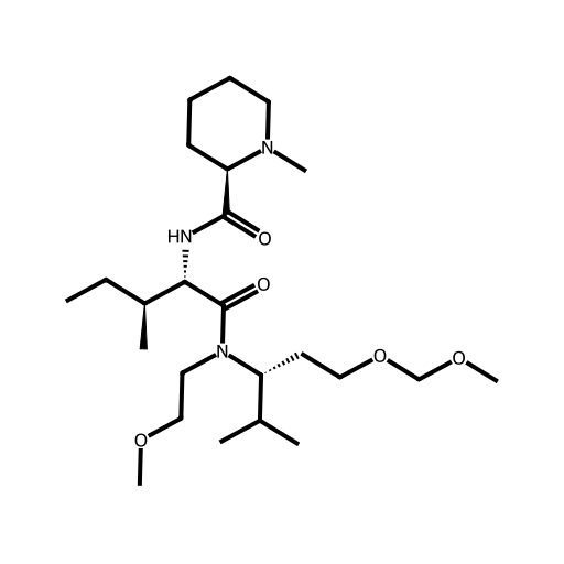 CC[C@H](C)[C@H](NC(=O)[C@H]1CCCCN1C)C(=O)N(CCOC)[C@H](CCOCOC)C(C)C